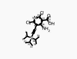 CC(C)[Si](C#Cc1c(Cl)nc(Cl)c(C(=O)O)c1N)(C(C)C)C(C)C